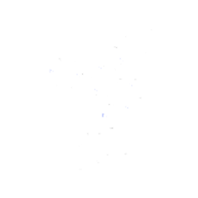 [O-][S+]1CCN(c2nc(N3CCNCC3)nc3c(NCc4ccc(Cl)cc4Cl)ncnc23)CC1